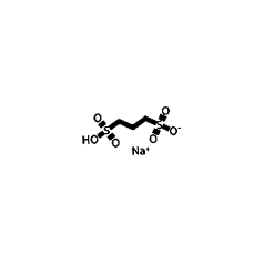 O=S(=O)([O-])CCCS(=O)(=O)O.[Na+]